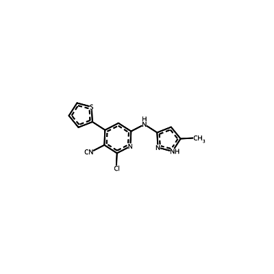 [C-]#[N+]c1c(-c2cccs2)cc(Nc2cc(C)[nH]n2)nc1Cl